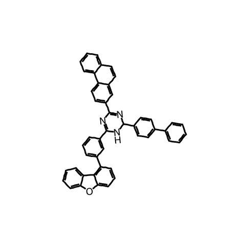 c1ccc(-c2ccc(C3N=C(c4ccc5c(ccc6ccccc65)c4)N=C(c4cccc(-c5cccc6oc7ccccc7c56)c4)N3)cc2)cc1